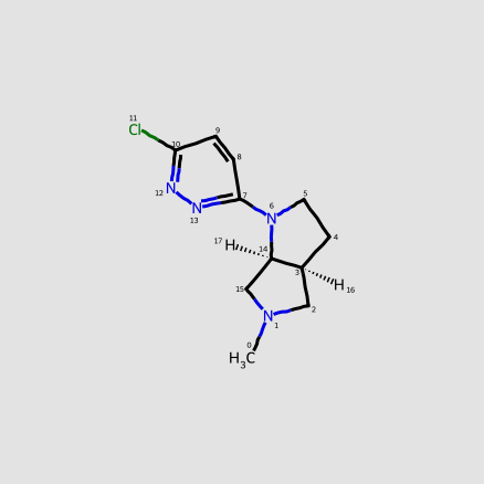 CN1C[C@@H]2CCN(c3ccc(Cl)nn3)[C@@H]2C1